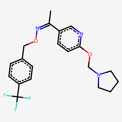 CC(=NOCc1ccc(C(F)(F)F)cc1)c1ccc(OCN2CCCC2)nc1